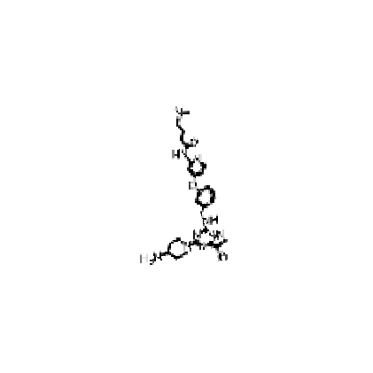 CC(C)c1cnn2c(NCc3cccc(Oc4ccnc(NC(=O)/C=C/CN(C)C)c4)c3)nc(N3CCC(N)CC3)nc12